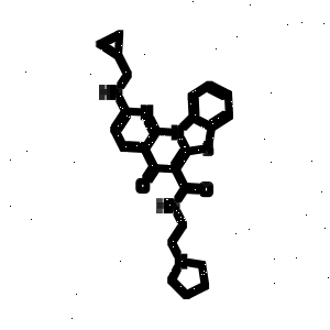 O=C(NCCN1CCCC1)c1c(=O)c2ccc(NCC3CC3)nc2n2c1sc1ccccc12